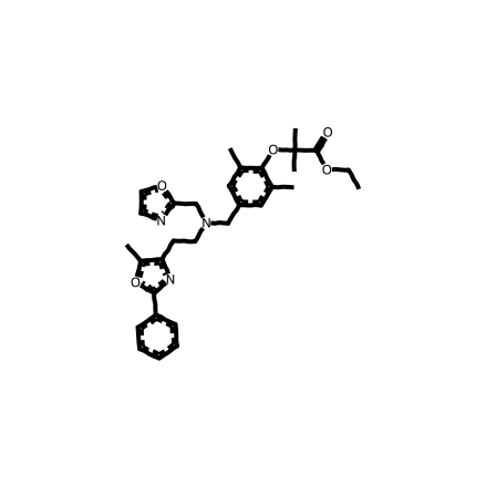 CCOC(=O)C(C)(C)Oc1c(C)cc(CN(CCc2nc(-c3ccccc3)oc2C)Cc2ncco2)cc1C